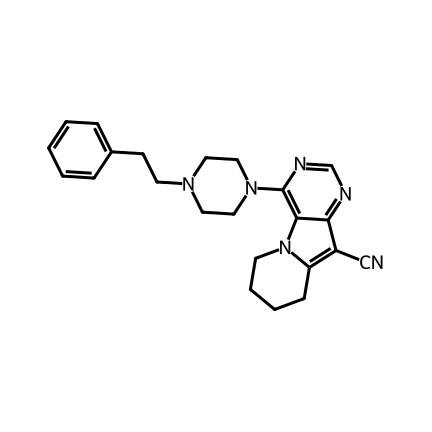 N#Cc1c2n(c3c(N4CCN(CCc5ccccc5)CC4)ncnc13)CCCC2